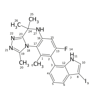 Cc1c(-c2cccc3c(I)c[nH]c23)c(F)cc2c1-n1c(C)nnc1C(C)(C)N2